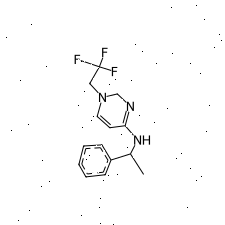 CC(NC1=NCN(CC(F)(F)F)C=C1)c1ccccc1